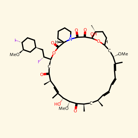 CO[C@H]1C[C@@H]2CC[C@@H](C)[C@@](O)(O2)C(=O)C(=O)N2CCCC[C@H]2C(=O)O[C@H]([C@H](I)C[C@@H]2CC[C@@H](I)[C@H](OC)C2)CC(=O)[C@H](C)/C=C(\C)[C@@H](O)[C@@H](OC)C(=O)[C@H](C)C[C@H](C)/C=C/C=C/C=C/1C